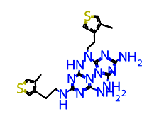 Cc1cscc1CCNc1nc(N)nc(NN(CCc2cscc2C)c2nc(N)nc(N)n2)n1